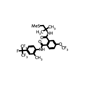 CSCC(C)(C)NC(=O)c1cc(OC(F)(F)F)ccc1C(=O)Nc1ccc(C(F)(C(F)(F)F)C(F)(F)F)cc1C